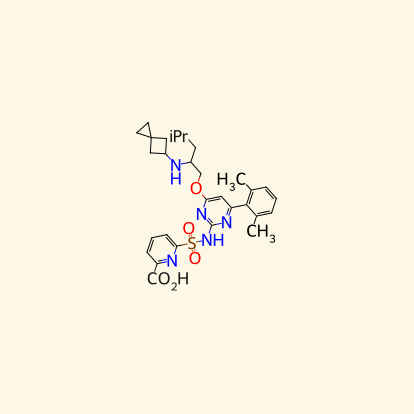 Cc1cccc(C)c1-c1cc(OCC(CC(C)C)NC2CC3(CC3)C2)nc(NS(=O)(=O)c2cccc(C(=O)O)n2)n1